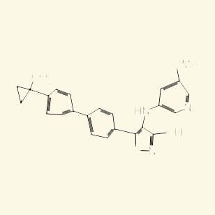 COc1cncc(Nc2c(C)noc2-c2ccc(-c3ccc(C4(C(=O)O)CC4)cc3)cc2)c1